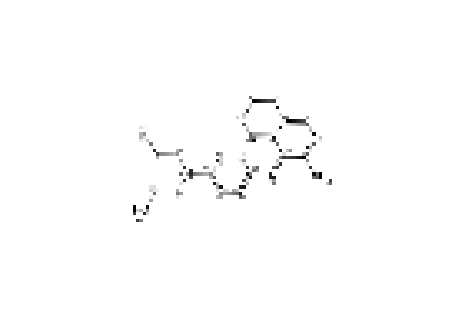 NC1=CC=C2CCCN=C2C1=Nc1ccc(N(CCO)CCO)cc1